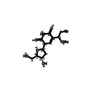 COC(CBr)c1cn([C@H]2C[C@H](O)[C@@H](CO)O2)c(=O)[nH]c1=O